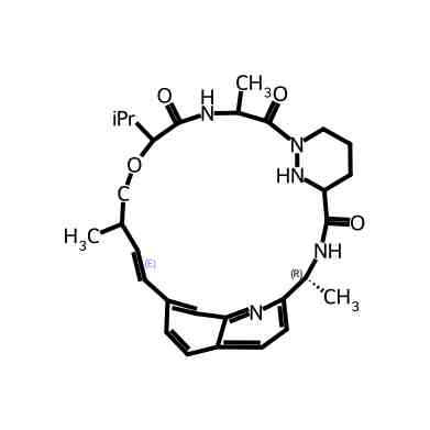 CC1/C=C/c2ccc3ccc(nc3c2)[C@@H](C)NC(=O)C2CCCN(N2)C(=O)C(C)NC(=O)C(C(C)C)OC1